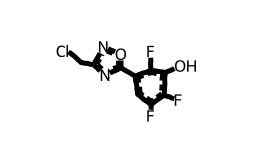 Oc1c(F)c(F)cc(-c2nc(CCl)no2)c1F